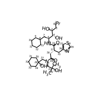 CC(C)C[C@H](O)[C@H](O)[C@H](CC1CCCCC1)NC(=O)[C@@H](CC(=O)N(CC(C)(C)O)CC1(O)CCCCC1)Cc1cscn1